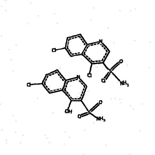 NS(=O)(=O)c1cnc2ccc(Cl)cc2c1Cl.NS(=O)(=O)c1cnc2ccc(Cl)cc2c1O